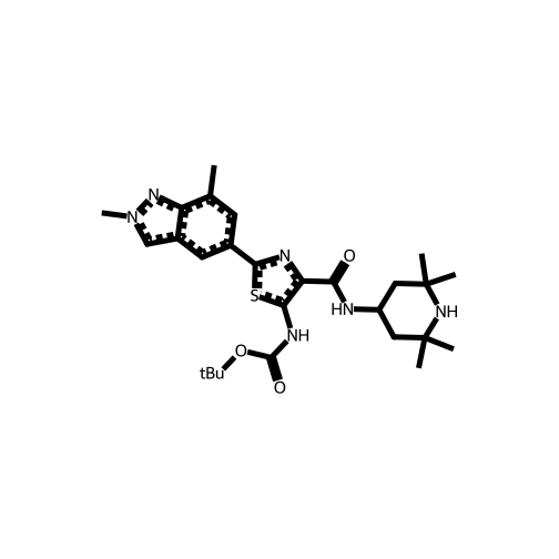 Cc1cc(-c2nc(C(=O)NC3CC(C)(C)NC(C)(C)C3)c(NC(=O)OC(C)(C)C)s2)cc2cn(C)nc12